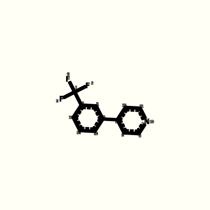 FC(F)(F)c1[c]c(-c2ccncc2)ccc1